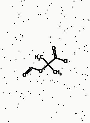 CC(C)(OC=O)C(=O)Cl